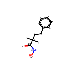 CC(C)(CCc1ccccc1)C(=O)NO